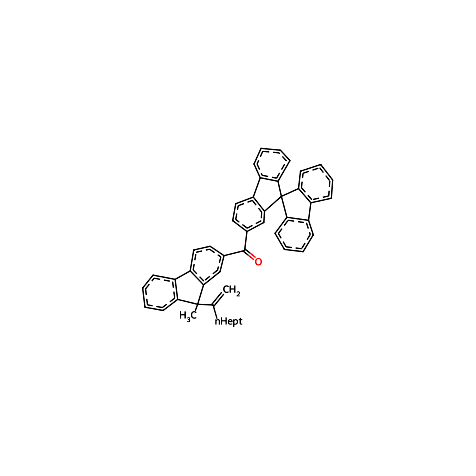 C=C(CCCCCCC)C1(C)c2ccccc2-c2ccc(C(=O)c3ccc4c(c3)C3(c5ccccc5-c5ccccc53)c3ccccc3-4)cc21